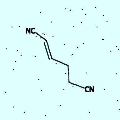 N#CC=CCCC#N